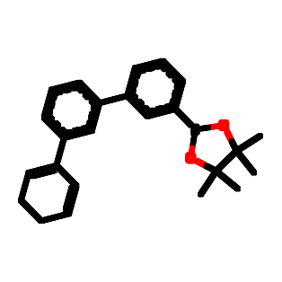 CC1(C)OB(c2cccc(-c3cccc(C4=CCCC=C4)c3)c2)OC1(C)C